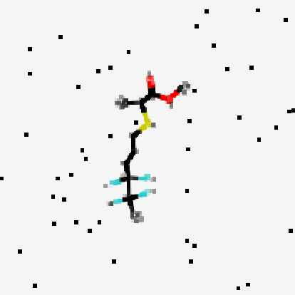 CC(C)OC(=O)C(C)SCCCC(F)(F)C(F)(F)C(F)(F)F